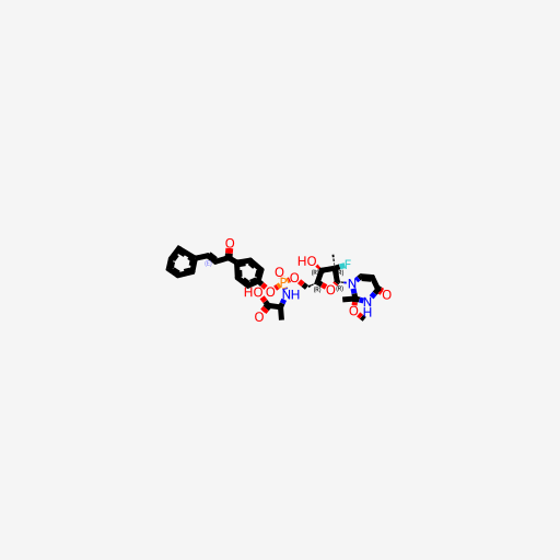 COC1(C)NC(=O)C=CN1[C@@H]1O[C@H](COP(=O)(NC(C)C(=O)O)Oc2ccc(C(=O)/C=C/c3ccccc3)cc2)[C@@H](O)[C@@]1(C)F